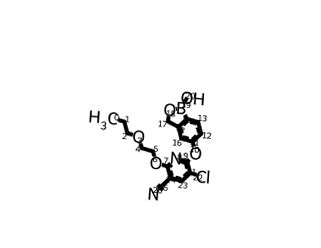 CCCOCCOc1nc(Oc2ccc3c(c2)COB3O)c(Cl)cc1C#N